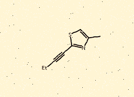 CCC#Cc1nc(C)cs1